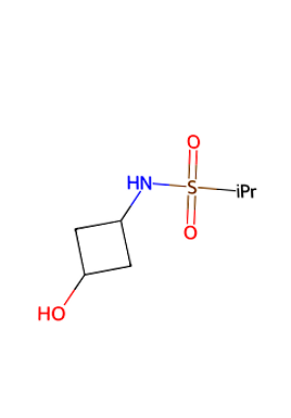 CC(C)S(=O)(=O)NC1CC(O)C1